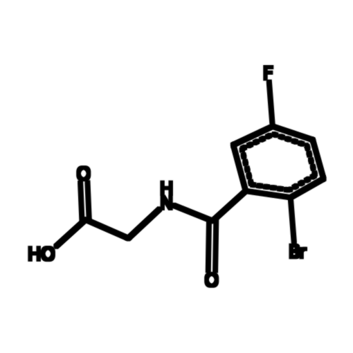 O=C(O)CNC(=O)c1cc(F)ccc1Br